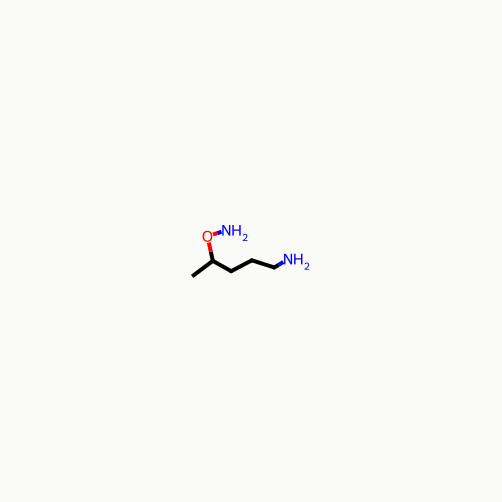 CC(CCCN)ON